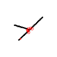 CCCCCCCCCCCCCCCCCCCC(=O)OC[C@@H](COC(=O)CCCCCCCCCCCCCCC)OC(=O)CCCCCCCCCCCCCCCCC